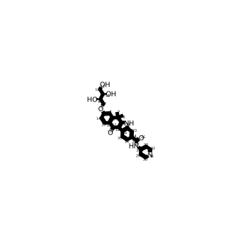 CC1(C)c2cc(OC[C@@H](O)[C@H](O)CO)ccc2C(=O)c2c1[nH]c1cc(C(=O)Nc3ccncc3)ccc21